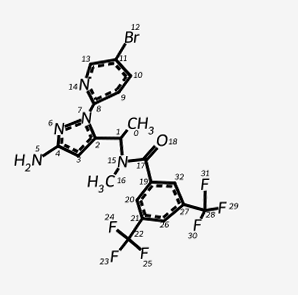 CC(c1cc(N)nn1-c1ccc(Br)cn1)N(C)C(=O)c1cc(C(F)(F)F)cc(C(F)(F)F)c1